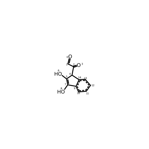 O=CC(=O)C1C(O)=C(O)c2ccccc21